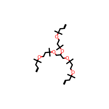 C=CCC(C)(C)OCCC(C)(C)OCC(COC(C)(C)CCOC(C)(C)CC=C)OC(C)(C)CCOC(C)(C)CC=C